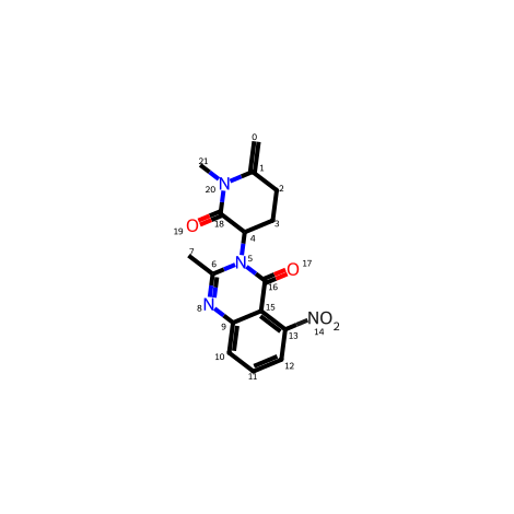 C=C1CCC(n2c(C)nc3cccc([N+](=O)[O-])c3c2=O)C(=O)N1C